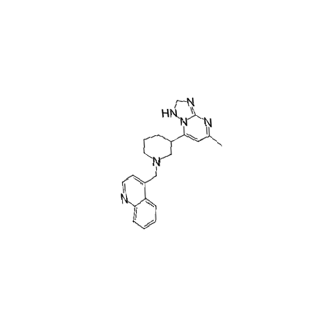 CC1=NC2=NCNN2C(C2CCCN(Cc3ccnc4ccccc34)C2)=C1